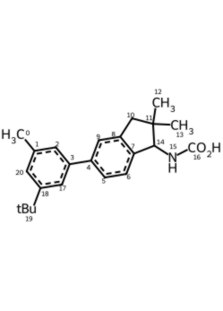 Cc1cc(-c2ccc3c(c2)CC(C)(C)C3NC(=O)O)cc(C(C)(C)C)c1